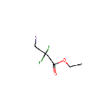 CCOC(=O)C(F)(F)CI